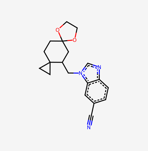 N#Cc1ccc2ncn(CC3CC4(CCC35CC5)OCCO4)c2c1